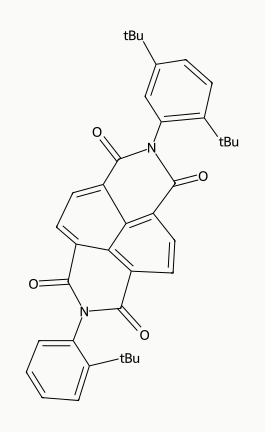 CC(C)(C)c1ccc(C(C)(C)C)c(N2C(=O)c3ccc4c5c(ccc(c35)C2=O)C(=O)N(c2ccccc2C(C)(C)C)C4=O)c1